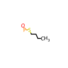 CCCCSP=O